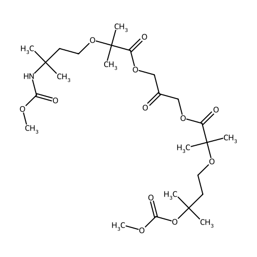 COC(=O)NC(C)(C)CCOC(C)(C)C(=O)OCC(=O)COC(=O)C(C)(C)OCCC(C)(C)OC(=O)OC